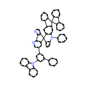 c1ccc(-c2cc(-c3cnc4c(c3)C3(c5ccccc5N(c5ccccc5)c5cc6c(cc53)-c3ccccc3C63c5ccccc5-c5ccccc53)c3cccnc3-4)cc(-n3c4ccccc4c4ccccc43)c2)cc1